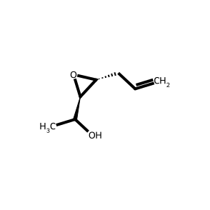 C=CC[C@H]1O[C@@H]1C(C)O